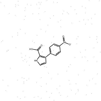 O=C(O)c1[nH]ccc1-c1ccc([N+](=O)[O-])cc1